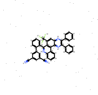 N#Cc1cc(C#N)cc(-c2ccccc2-c2nc3ccccc3c3c2c(C(F)(F)F)cc2nc(-c4ccccc4)c(-c4ccccc4)nc23)c1